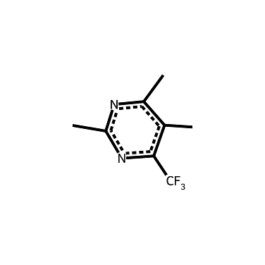 Cc1nc(C)c(C)c(C(F)(F)F)n1